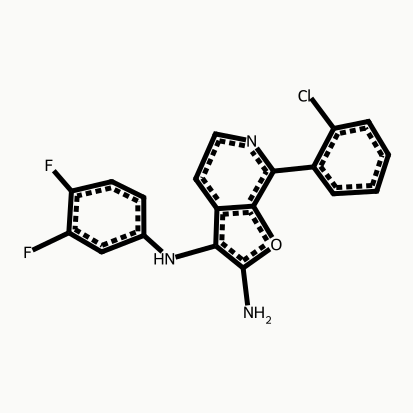 Nc1oc2c(-c3ccccc3Cl)nccc2c1Nc1ccc(F)c(F)c1